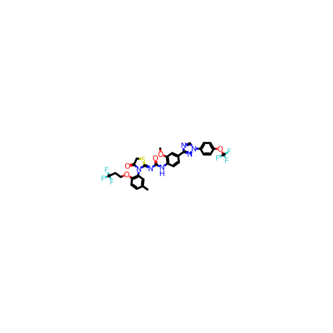 COc1cc(-c2ncn(-c3ccc(OC(F)(F)F)cc3)n2)ccc1NC(=O)N=C1SCC(=O)N1c1cc(C)ccc1OCCC(F)(F)F